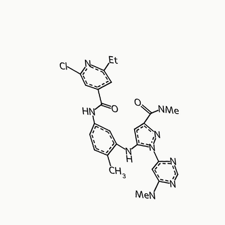 CCc1cc(C(=O)Nc2ccc(C)c(Nc3cc(C(=O)NC)nn3-c3cc(NC)ncn3)c2)cc(Cl)n1